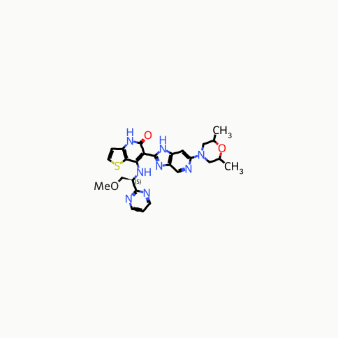 COC[C@@H](Nc1c(-c2nc3cnc(N4CC(C)OC(C)C4)cc3[nH]2)c(=O)[nH]c2ccsc12)c1ncccn1